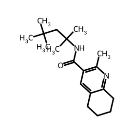 Cc1nc2c(cc1C(=O)NC(C)(C)CC(C)(C)C)CCCC2